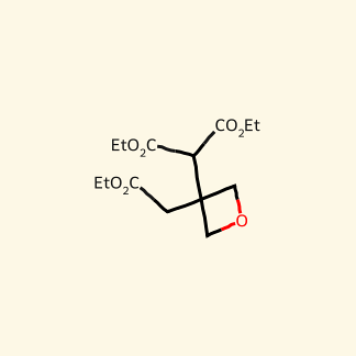 CCOC(=O)CC1(C(C(=O)OCC)C(=O)OCC)COC1